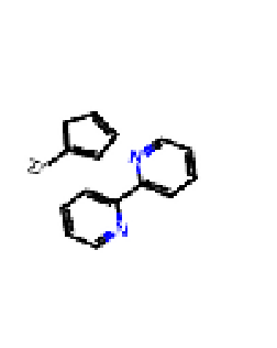 [Zr][C]1=CC=CC1.c1ccc(-c2ccccn2)nc1